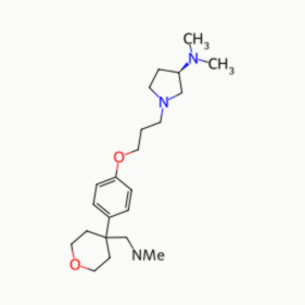 CNCC1(c2ccc(OCCCN3CC[C@@H](N(C)C)C3)cc2)CCOCC1